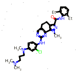 CCc1cccc(CC)c1NC(=O)c1nn(C)c2c1CCc1cnc(Nc3ccc(N(C)CCCN(C)C)cc3Cl)nc1-2